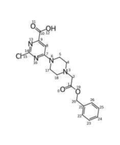 O=C(CN1CCN(c2cc(C(=O)O)nc(Cl)n2)CC1)OCc1ccccc1